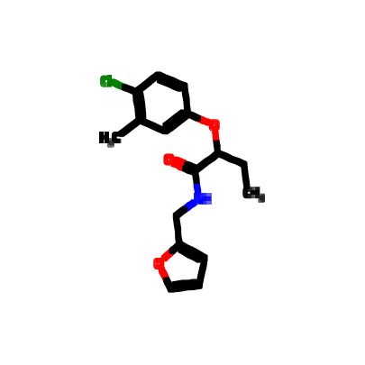 CCC(Oc1ccc(Cl)c(C)c1)C(=O)NCc1ccco1